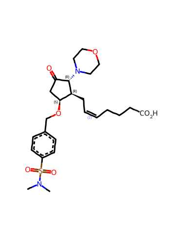 CN(C)S(=O)(=O)c1ccc(CO[C@H]2CC(=O)[C@H](N3CCOCC3)[C@H]2C/C=C\CCCC(=O)O)cc1